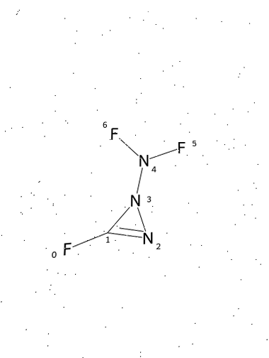 FC1=NN1N(F)F